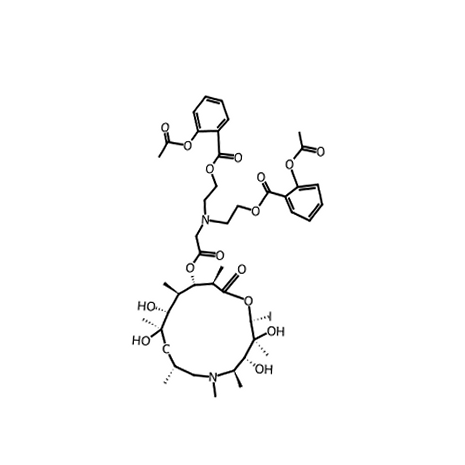 CC(=O)Oc1ccccc1C(=O)OCCN(CCOC(=O)c1ccccc1OC(C)=O)CC(=O)O[C@H]1[C@H](C)[C@@H](O)[C@](C)(O)C[C@@H](C)CN(C)[C@H](C)[C@@H](O)[C@](C)(O)[C@@H](I)OC(=O)[C@@H]1C